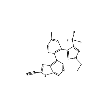 CCn1cc(-c2cc(C)ccc2-c2cncc3sc(C#N)cc23)c(C(F)(F)F)n1